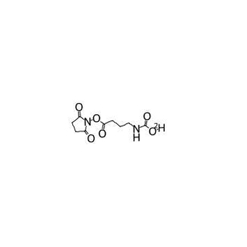 [2H]OC(=O)NCCCC(=O)ON1C(=O)CCC1=O